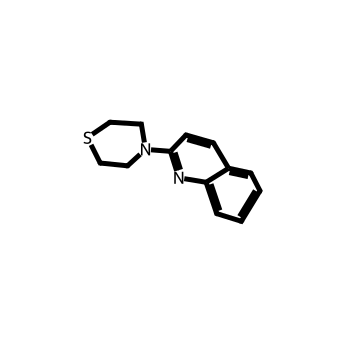 c1ccc2nc(N3CCSCC3)ccc2c1